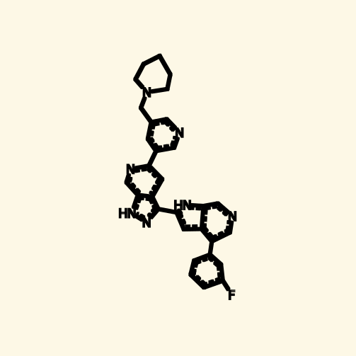 Fc1cccc(-c2cncc3[nH]c(-c4n[nH]c5cnc(-c6cncc(CN7CCCCC7)c6)cc45)cc23)c1